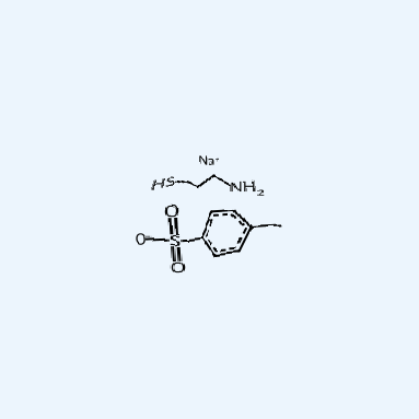 Cc1ccc(S(=O)(=O)[O-])cc1.NCCS.[Na+]